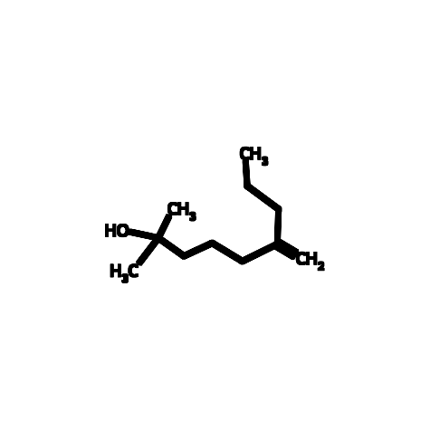 C=C(CCC)CCCC(C)(C)O